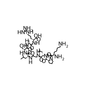 CC(C)C[C@H](NC(=O)CNC(=O)[C@H](CC(C)C)NC(=O)[C@@H]1CCCN1C(=O)[C@@H](N)CCCCN)C(=O)N[C@@H](CO)C(=O)N[C@@H](C)C(=O)N[C@@H](CCCNC(=N)N)C(=O)O